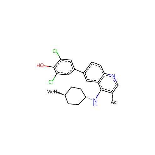 CN[C@H]1CC[C@H](Nc2c(C(C)=O)cnc3ccc(-c4cc(Cl)c(O)c(Cl)c4)cc23)CC1